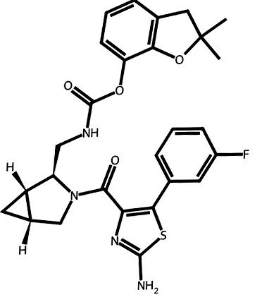 CC1(C)Cc2cccc(OC(=O)NC[C@@H]3[C@H]4C[C@H]4CN3C(=O)c3nc(N)sc3-c3cccc(F)c3)c2O1